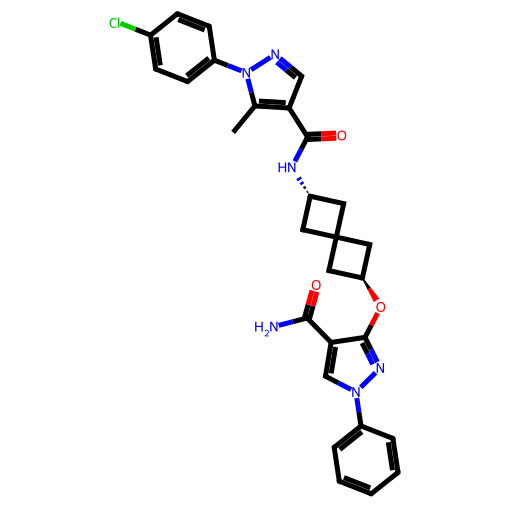 Cc1c(C(=O)N[C@H]2CC3(C2)C[C@H](Oc2nn(-c4ccccc4)cc2C(N)=O)C3)cnn1-c1ccc(Cl)cc1